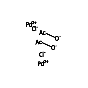 CC(=O)[O-].CC(=O)[O-].[Cl-].[Cl-].[Pd+2].[Pd+2]